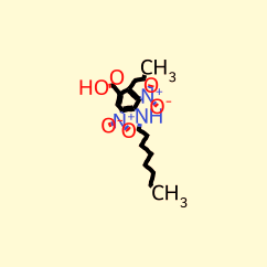 CCCCCCCCNc1c([N+](=O)[O-])cc(C(=O)O)c(CCC)c1[N+](=O)[O-]